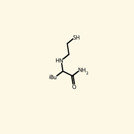 CCC(C)C(NCCS)C(N)=O